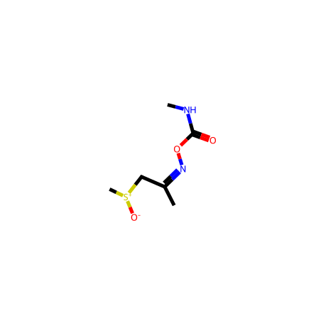 CNC(=O)ON=C(C)C[S+](C)[O-]